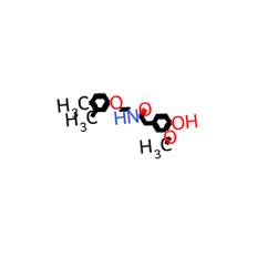 COc1cc(CC(=O)NCCOc2ccc(C)c(C)c2)ccc1O